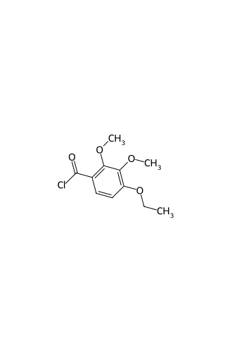 CCOc1ccc(C(=O)Cl)c(OC)c1OC